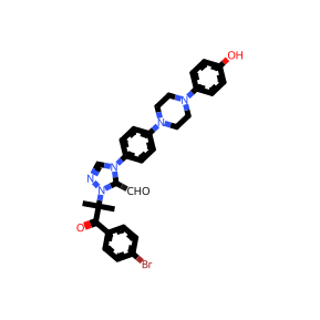 CC(C)(C(=O)c1ccc(Br)cc1)N1N=CN(c2ccc(N3CCN(c4ccc(O)cc4)CC3)cc2)C1C=O